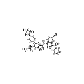 CC(=O)Nc1ccc(-c2cc3c(C(=O)Nc4ccc(C#N)cc4C(=O)C(O)c4ccccc4)noc3cc2NC(C)=O)cc1